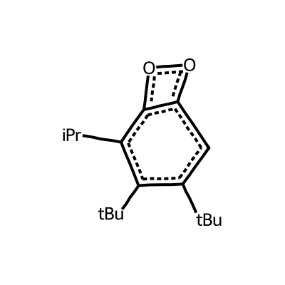 CC(C)c1c(C(C)(C)C)c(C(C)(C)C)cc2ooc12